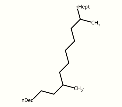 [CH2]C(CCCCCCCCCCCC)CCCCCC(C)CCCCCCC